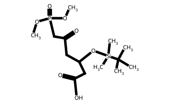 COP(=O)(CC(=O)CC(CC(=O)O)O[Si](C)(C)C(C)(C)C)OC